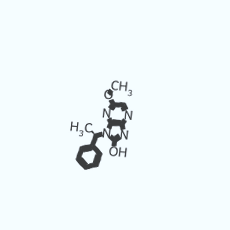 COc1cnc2nc(O)n([C@@H](C)c3ccccc3)c2n1